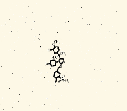 COc1ccc(C(C)(C)c2cnc(SCc3ccc(F)c(S(N)(=O)=O)c3)n2-c2ccc(F)cc2)cc1Cl